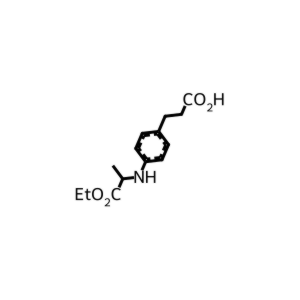 CCOC(=O)C(C)Nc1ccc(CCC(=O)O)cc1